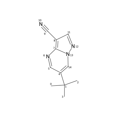 CC(C)(C)c1cnc2c(C#N)cnn2c1